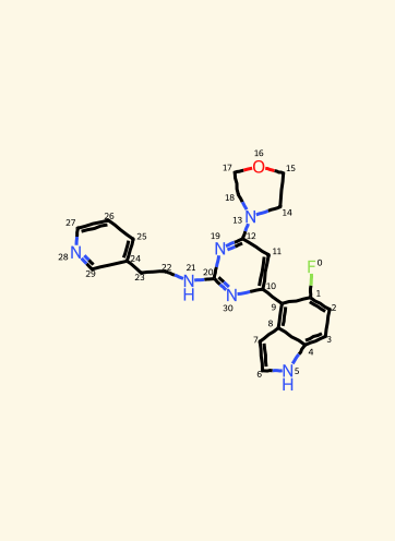 Fc1ccc2[nH]ccc2c1-c1cc(N2CCOCC2)nc(NCCc2cccnc2)n1